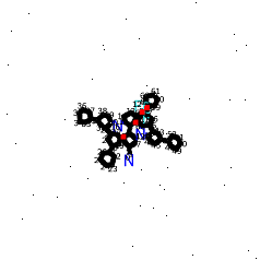 N#Cc1ccc(-c2cc(C(F)(F)F)ccc2-n2c3ccc(-c4ccccc4)cc3c3cc(-c4ccccc4)ccc32)c(-n2c3ccc(-c4ccccc4)cc3c3cc(-c4ccccc4)ccc32)c1